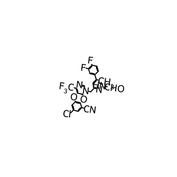 C/C(=C\C(Cn1cnc(C(F)(F)F)c(Oc2cc(Cl)cc(C#N)c2)c1=O)=N/NC=O)c1ccc(F)c(F)c1